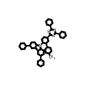 FC(F)(F)c1ccc(-c2cc(-c3nc(-c4ccccc4)nc(-c4ccccc4)n3)ccc2-n2c3ccc(-c4ccccc4)cc3c3cc(-c4ccccc4)ccc32)cc1